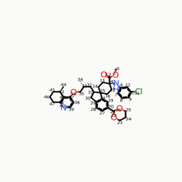 COC(=O)C1(Nc2cccc(Cl)c2)CCC2(CC1)c1cc(C3OCCCO3)ccc1CC2C[C@@H](C)COc1ccnc2c1[C@H](C)CCC2